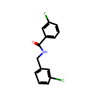 O=C(NCc1cccc(Cl)c1)c1cccc(F)c1